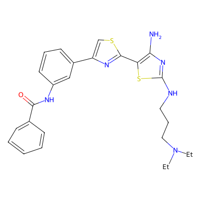 CCN(CC)CCCNc1nc(N)c(-c2nc(-c3cccc(NC(=O)c4ccccc4)c3)cs2)s1